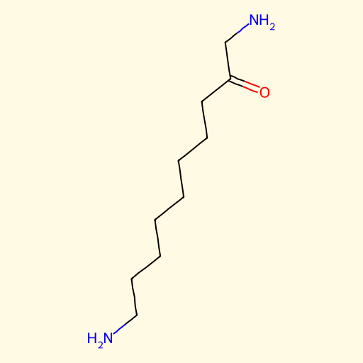 NCCCCCCCCC(=O)CN